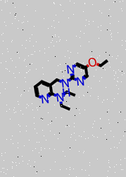 CCOc1cnc(NCc2cccnc2N(CC)CC)nc1